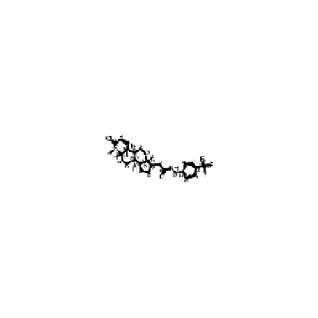 CN1C(=O)C=C[C@]2(C)[C@H]3CC[C@]4(C)[C@@H](CC(=O)NCc5ccc(C(F)(F)F)cc5)CC[C@H]4[C@@H]3CC[C@@H]12